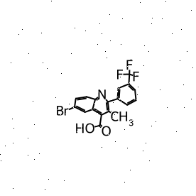 Cc1c(-c2cccc(C(F)(F)F)c2)nc2ccc(Br)cc2c1C(=O)O